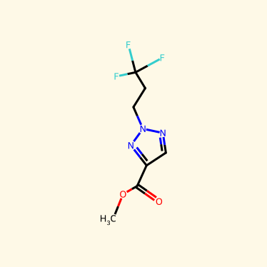 COC(=O)c1cnn(CCC(F)(F)F)n1